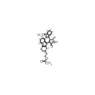 CC(=O)OCCC1CCc2c(c(C3=C(c4cn(C)c5ccccc45)C(=O)NC3=O)c3ccccn23)C1